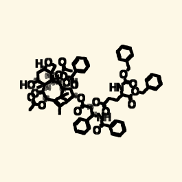 CC(=O)O[C@H]1C(=O)[C@@]2(C)[C@H]([C@H](OC(=O)c3ccccc3)[C@]3(O)C[C@H](OC(=O)[C@H](OC(=O)CCC(NC(=O)OCc4ccccc4)C(=O)OCc4ccccc4)[C@@H](NC(=O)c4ccccc4)c4ccccc4)C4C(C)=C1C43C)[C@]1(OC(C)=O)CO[C@@H]1C[C@@H]2O